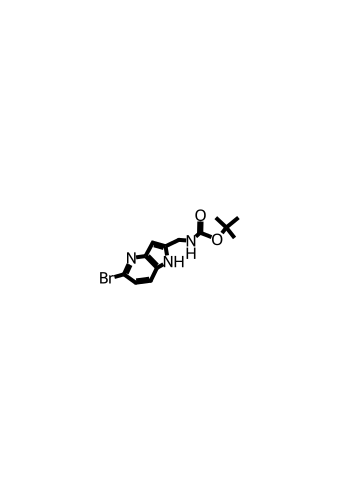 CC(C)(C)OC(=O)NCc1cc2nc(Br)ccc2[nH]1